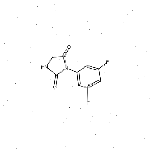 O=C1CNC(=O)N1c1cc(F)cc(F)c1